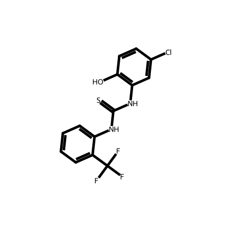 Oc1ccc(Cl)cc1NC(=S)Nc1ccccc1C(F)(F)F